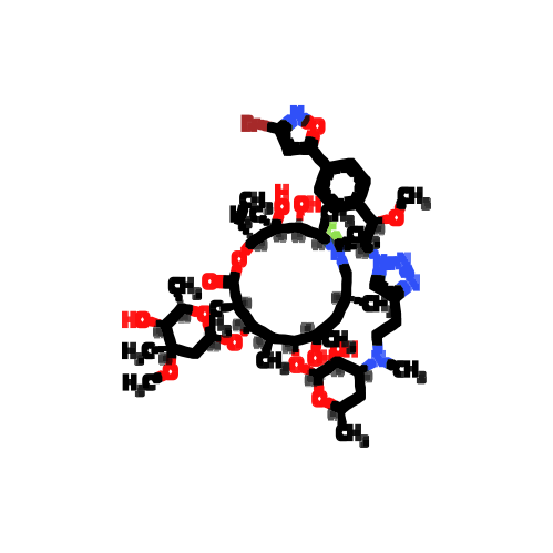 CC[C@H]1OC(=O)[C@H](C)[C@@H](O[C@H]2C[C@@](C)(OC)[C@@H](O)[C@H](C)O2)[C@H](C)[C@@H](O[C@@H]2O[C@H](C)C[C@H](N(C)CCc3cn([C@H](CF)[C@H](OC)c4ccc(-c5cc(Br)no5)cc4)nn3)[C@H]2O)[C@](C)(O)C[C@@H](C)CN(C)[C@H](C)[C@@H](O)[C@]1(C)O